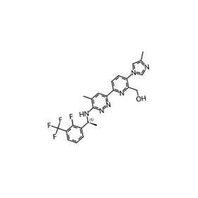 Cc1cn(-c2ccc(-c3cc(C)c(N[C@@H](C)c4cccc(C(F)(F)F)c4F)nn3)nc2CO)cn1